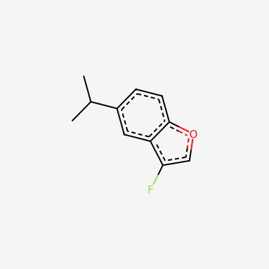 CC(C)c1ccc2occ(F)c2c1